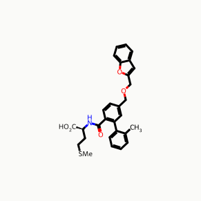 CSCC[C@H](NC(=O)c1ccc(COCc2cc3ccccc3o2)cc1-c1ccccc1C)C(=O)O